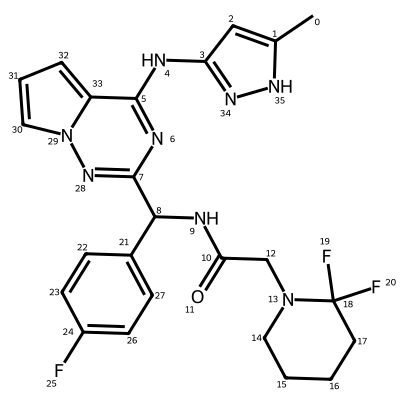 Cc1cc(Nc2nc(C(NC(=O)CN3CCCCC3(F)F)c3ccc(F)cc3)nn3cccc23)n[nH]1